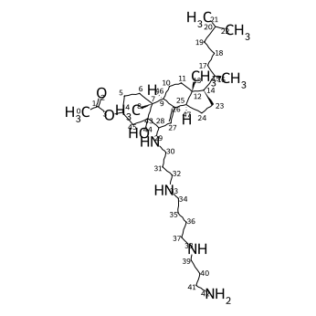 CC(=O)OC1CC[C@]2(C)[C@H]3CC[C@]4(C)[C@@H]([C@H](C)CCCC(C)C)CC[C@H]4C3=CC(NCCCNCCCCNCCCN)C2(O)C1